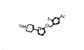 [2H]N1CC=C(c2cccc(OCc3ccc(C(C)=O)cc3F)n2)CC1